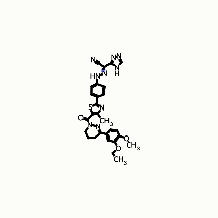 CCOc1cc(C2=NN(C(=O)c3sc(-c4ccc(N/N=C(\C#N)c5nnc[nH]5)cc4)nc3C)CCC2)ccc1OC